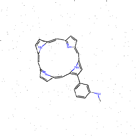 CNc1cccc(-c2cc3cc4nc(cc5ccc(cc6nc(cc2[nH]3)C=C6)[nH]5)C=C4)c1